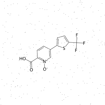 O=C(O)c1ccc(-c2ccc(C(F)(F)F)s2)c[n+]1[O-]